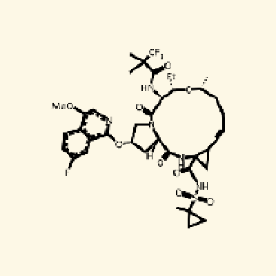 CC[C@@H]1C[C@H](C)CC/C=C\C2CC2(C(=O)NS(=O)(=O)C2(C)CC2)NC(=O)[C@@H]2C[C@@H](Oc3ncc(OC)c4ccc(F)cc34)CN2C(=O)[C@H]1NC(=O)C(C)(C)C(F)(F)F